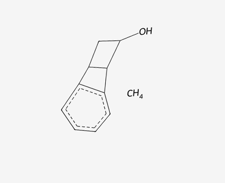 C.OC1CC2c3ccccc3C12